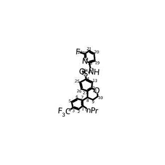 CCCc1cc(C(F)(F)F)ccc1C1CCOc2cc([S+]([O-])Nc3cccc(F)n3)ccc21